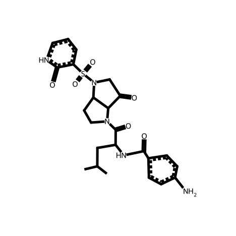 CC(C)CC(NC(=O)c1ccc(N)cc1)C(=O)N1CCC2C1C(=O)CN2S(=O)(=O)c1ccc[nH]c1=O